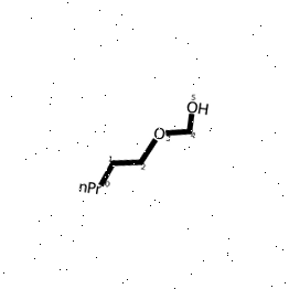 CCCCCOCO